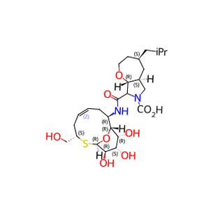 CC(C)C[C@@H]1CCO[C@H]2C(C(=O)N[C@@H]3C/C=C\C[C@@H](CO)S[C@H]4O[C@H]3[C@H](O)[C@H](O)[C@H]4O)N(C(=O)O)C[C@@H]2C1